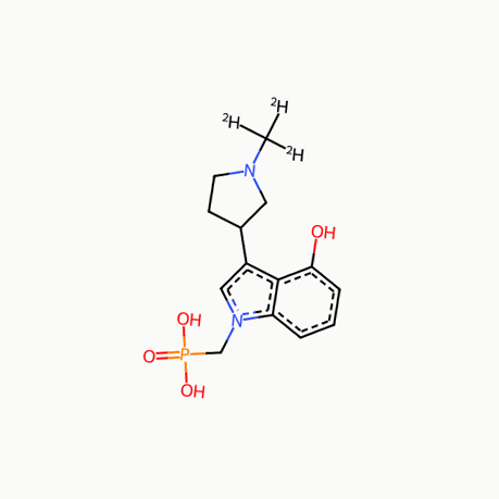 [2H]C([2H])([2H])N1CCC(c2cn(CP(=O)(O)O)c3cccc(O)c23)C1